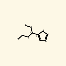 CCCC(CC)C1=CC=CC1